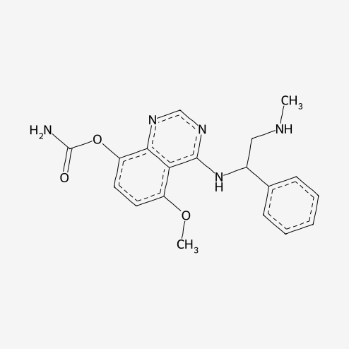 CNCC(Nc1ncnc2c(OC(N)=O)ccc(OC)c12)c1ccccc1